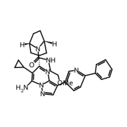 COCCNC(=O)N1[C@@H]2CC[C@H]1C[C@@H](c1nc3c(-c4ccc(-c5ccccc5)nc4)cnn3c(N)c1C1CC1)C2